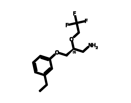 CCc1cccc(OC[C@H](CN)OCC(F)(F)F)c1